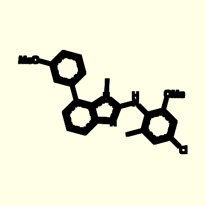 COc1cccc(-c2cccc3nc(Nc4c(C)cc(Cl)cc4OC)n(C)c23)c1